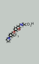 O=C(O)C1CN(CC2=Cc3ccc(OCc4ccc(N5CCCCC5)cc4C(F)(F)F)cc3OC2)C1